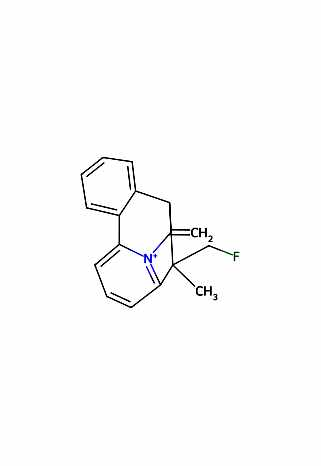 C=C1C2c3ccccc3-c3cccc([n+]31)C2(C)CF